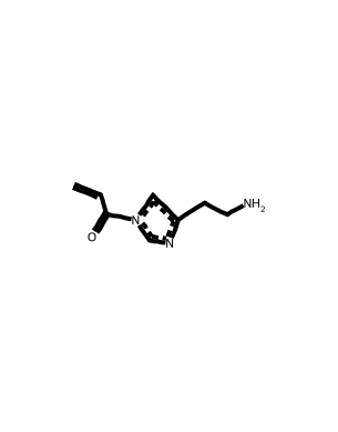 C=CC(=O)n1cnc(CCN)c1